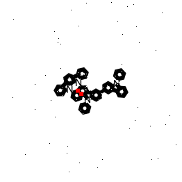 c1ccc(-n2c3ccccc3c3cc(-c4ccc5c(c4)c4cc(-n6c7ccccc7c7ccc8c9ccccc9n(-c9ccccc9)c8c76)ccc4n5-c4ccccc4)ccc32)cc1